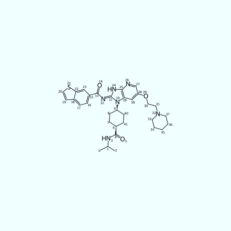 CC(C)NC(=O)[C@H]1CC[C@@H](n2/c(=N/C(=O)c3ccc4ccsc4c3)[nH]c3ncc(OCCN4CCCCC4)cc32)CC1